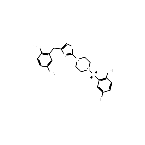 COc1ccc(OC)c(Cc2csc(N3CCN(S(=O)(=O)c4cc(F)ccc4C)CC3)n2)c1